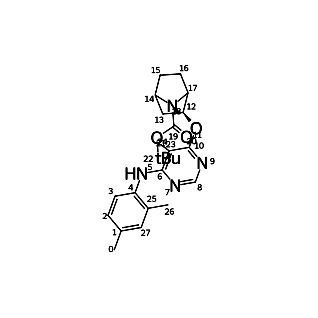 Cc1ccc(Nc2ncnc(O[C@H]3CC4CCC3N4C(=O)OC(C)(C)C)c2C)c(C)c1